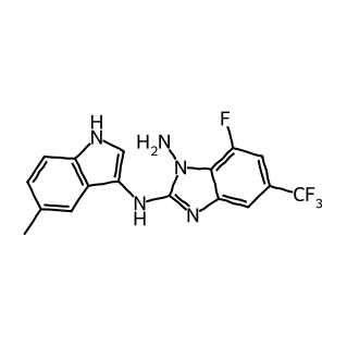 Cc1ccc2[nH]cc(Nc3nc4cc(C(F)(F)F)cc(F)c4n3N)c2c1